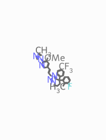 COc1cc(C=Cc2nc3n(n2)CCCC3(c2ccc(C(F)(F)F)cc2)c2cccc(F)c2C)cnc1-n1cnc(C)c1